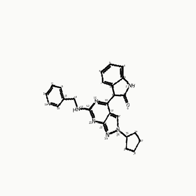 O=C1Nc2ccccc2C1c1nc(NCc2cccnc2)nc2nn(C3CCCC3)cc12